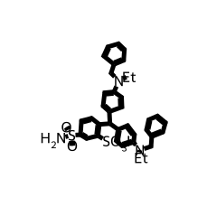 CCN(Cc1ccccc1)c1ccc(C(c2ccc(N(CC)Cc3ccccc3)cc2)c2ccc(S(N)(=O)=O)cc2S(=O)(=O)O)cc1